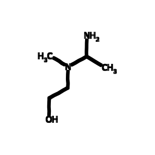 CC(N)N(C)CCO